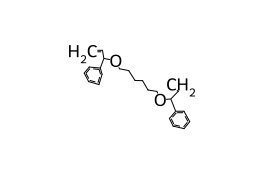 C=CC(OCCCCCCOC(C=C)c1ccccc1)c1ccccc1